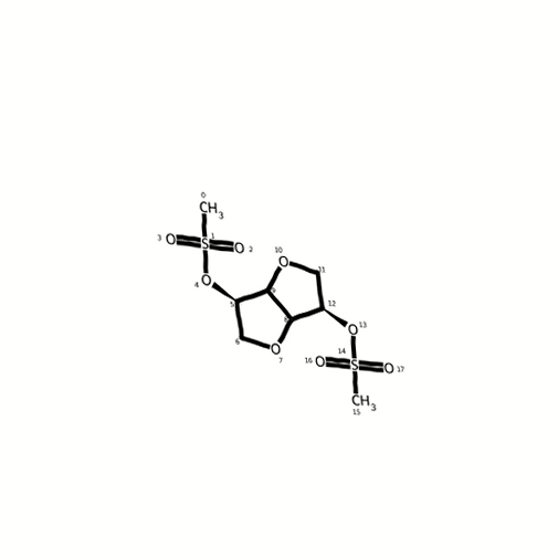 CS(=O)(=O)O[C@@H]1COC2C1OC[C@H]2OS(C)(=O)=O